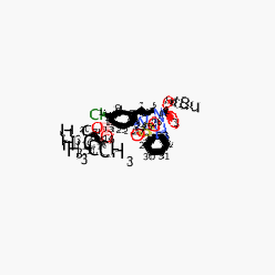 CC(C)(C)OC(=O)NCc1cc2cc(Cl)c(B3OC(C)(C)C(C)(C)O3)cc2n1S(=O)(=O)c1ccccc1